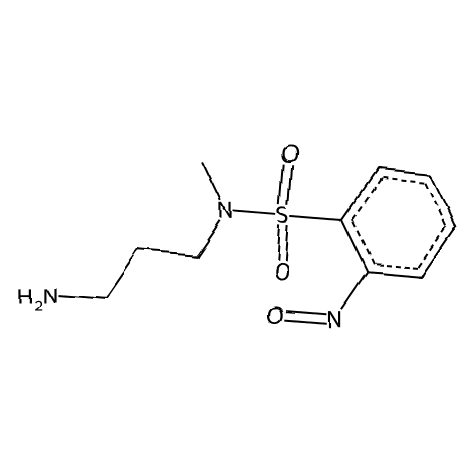 CN(CCCN)S(=O)(=O)c1ccccc1N=O